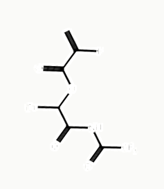 C=C(F)C(=O)OC(C(=O)NC(=O)C(F)(F)F)C(C)C